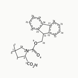 CC1(C)CC(C(=O)O)N(C(=O)OCC2c3ccccc3-c3ccccc32)C1